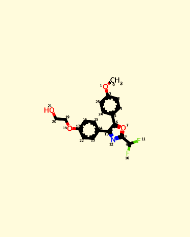 COc1ccc(-c2oc(C(F)F)nc2-c2ccc(OCCO)cc2)cc1